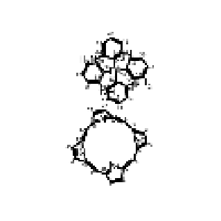 C1=Cc2cc3ccc(cc4nc(cc5ccc(cc1n2)[nH]5)C=C4)[nH]3.Nc1cccc[c]1[Fe]([c]1ccccc1N)([c]1ccccc1N)[c]1ccccc1N